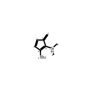 C=C1C=CC(C(C)(C)C)=C1[SiH](C)C